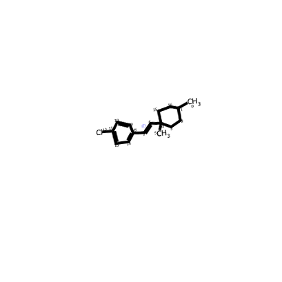 CC1CCC(C)(/C=C/c2ccc(Cl)cc2)CC1